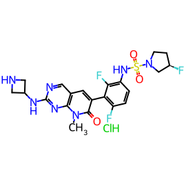 Cl.Cn1c(=O)c(-c2c(F)ccc(NS(=O)(=O)N3CC[C@@H](F)C3)c2F)cc2cnc(NC3CNC3)nc21